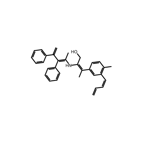 C=C/C=C\c1cc(/C(C)=C(\CO)N/C(C)=C(/C(=C)c2ccccc2)c2ccccc2)ccc1C